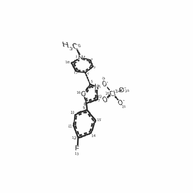 C[n+]1ccc(-c2ncc(-c3ccc(F)cc3)o2)cc1.[O-][Cl+3]([O-])([O-])[O-]